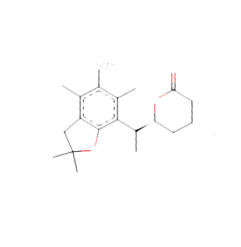 CNc1c(C)c2c(c(C(C)[C@@H]3C[C@@H](O)CC(=O)O3)c1C)OC(C)(C)C2